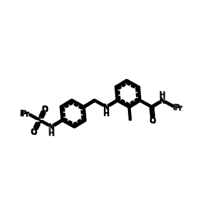 Cc1c(NCc2ccc(NS(=O)(=O)C(C)C)cc2)cccc1C(=O)NC(C)C